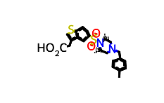 Cc1ccc(CN2C[C@@H](C)N(S(=O)(=O)c3ccc4scc(CC(=O)O)c4c3)[C@@H](C)C2)cc1